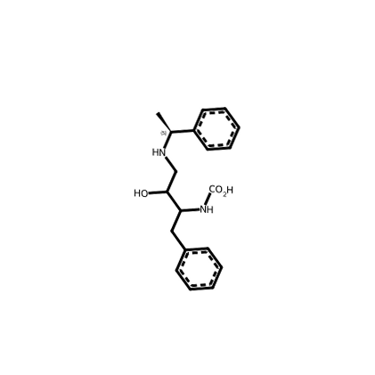 C[C@H](NCC(O)C(Cc1ccccc1)NC(=O)O)c1ccccc1